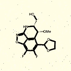 CO[C@@H]1c2c(C3OCCO3)c(F)c(F)c3onc(c23)N[C@@H]1CO